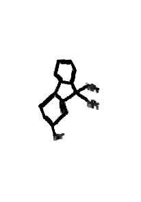 CCCC1(CCC)c2ccccc2-c2ccc(Br)cc21